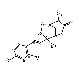 CC1C(=O)CC2CC1OOC2(C)C=Cc1ccc(C#N)cc1Cl